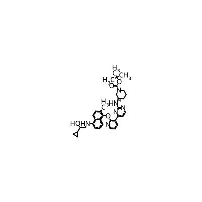 Cc1ccc2c(NC[C@H](O)C3CC3)cccc2c1Oc1ncccc1-c1ccnc(N[C@H]2CCCN(C(=O)OC(C)(C)C)C2)n1